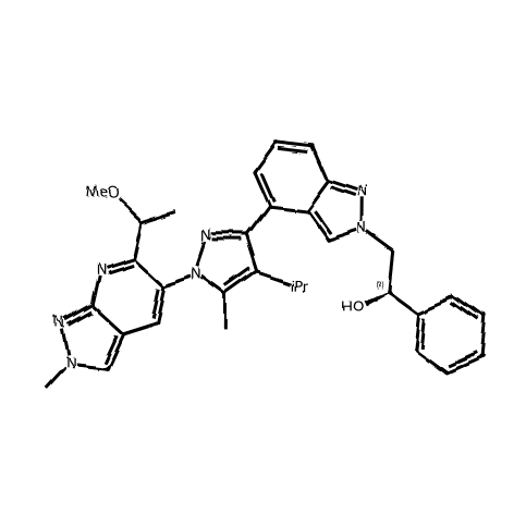 COC(C)c1nc2nn(C)cc2cc1-n1nc(-c2cccc3nn(C[C@H](O)c4ccccc4)cc23)c(C(C)C)c1C